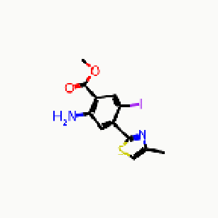 COC(=O)c1cc(I)c(-c2nc(C)cs2)cc1N